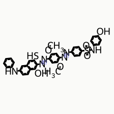 COc1cc(/N=N/c2c(S)cc3cc(Nc4ccccc4)ccc3c2O)c(OC)cc1/N=N/c1ccc(S(=O)(=O)Nc2ccc(O)cc2)cc1